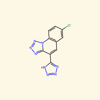 Clc1ccc2c(c1)cc(-c1nnn[nH]1)c1nnnn12